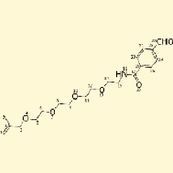 C=C(C)COCCOCCOCCOCCNC(=O)c1ccc(C=O)cc1